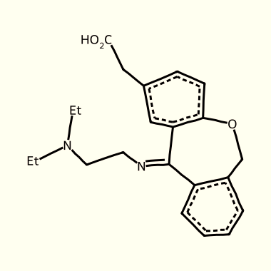 CCN(CC)CCN=C1c2ccccc2COc2ccc(CC(=O)O)cc21